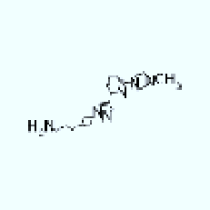 CN1CCN(c2cccc(-c3cnn(C4CC(CCCN)C4)c3)n2)CC1